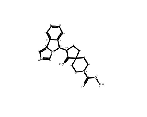 CC(C)(C)OC(=O)N1CCC2(CCC(C3c4ccccc4-c4cncn43)C2=O)CC1